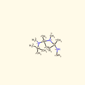 CN([Si](C)(C)C)[Si](C)(C)N(C)[Si](C)(C)N[SiH3]